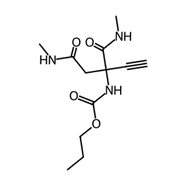 C#CC(CC(=O)NC)(NC(=O)OCCC)C(=O)NC